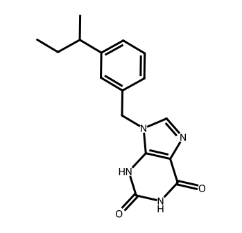 CCC(C)c1cccc(Cn2cnc3c(=O)[nH]c(=O)[nH]c32)c1